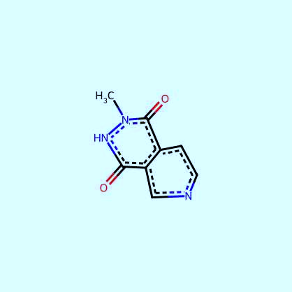 Cn1[nH]c(=O)c2cnccc2c1=O